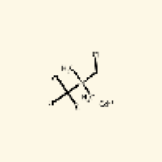 C[N+](C)(CCl)C(Cl)(Cl)Cl.[Cd+2]